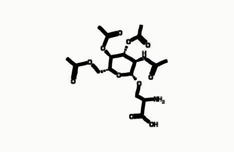 CC(=O)N[C@H]1[C@H](OCC(N)C(=O)O)O[C@H](COC(C)=O)[C@@H](OC(C)=O)[C@@H]1OC(C)=O